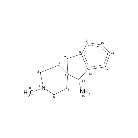 CN1CCC2(CC1)Cc1ccccc1[C@@H]2N